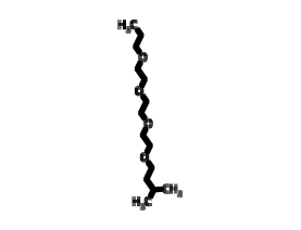 CCCOCCOCCOCCOCCC(C)C